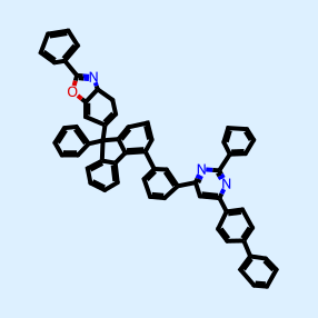 C1=C2OC(c3ccccc3)=NC2CC=C1C1(c2ccccc2)c2ccccc2-c2c(-c3cccc(-c4cc(-c5ccc(-c6ccccc6)cc5)nc(-c5ccccc5)n4)c3)cccc21